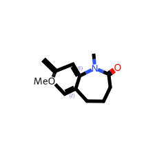 C=C(/C=C1\C(=C/C)CCCC(=O)N1C)OC